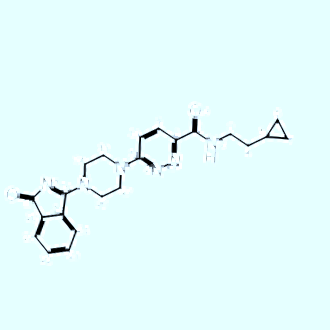 O=C(NCCC1CC1)c1ccc(N2CCN(C3=NC(=O)c4ccccc43)CC2)nn1